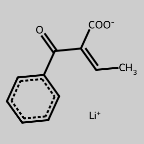 CC=C(C(=O)[O-])C(=O)c1ccccc1.[Li+]